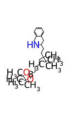 CC(C)(C)C(C)(CCCCB1OC(C)(C)C(C)(C)O1)CCC1Cc2ccccc2CN1